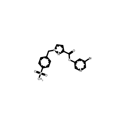 CS(=O)(=O)c1ccc(Cn2ccc(C(=O)Oc3cncc(Br)c3)n2)cc1